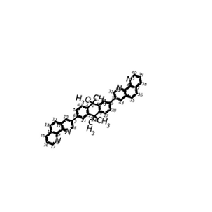 CC1(C)c2ccc(-c3cnc4c(ccc5cccnc54)c3)cc2C(C)(C)c2ccc(-c3cnc4c(ccc5cccnc54)c3)cc21